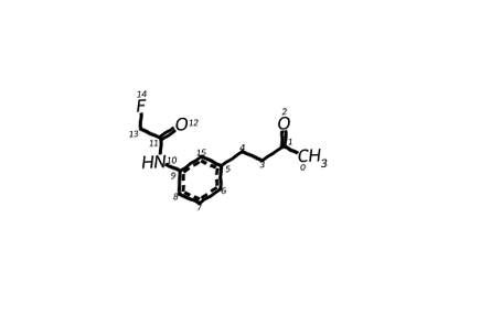 CC(=O)CCc1cccc(NC(=O)CF)c1